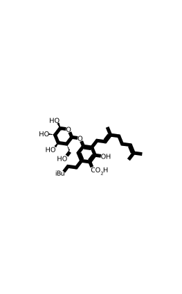 CCC(C)CCc1cc(OC2O[C@H](O)[C@@H](O)[C@H](O)[C@H]2CO)c(C/C=C(\C)CCC=C(C)C)c(O)c1C(=O)O